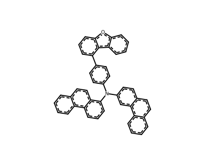 c1ccc2c(c1)ccc1ccc(N(c3ccc(-c4cccc5oc6ccccc6c45)cc3)c3cccc4c3ccc3ccccc34)cc12